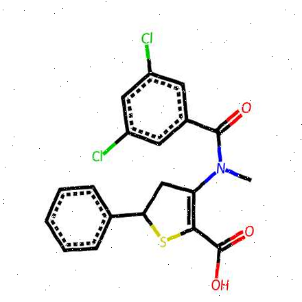 CN(C(=O)c1cc(Cl)cc(Cl)c1)C1=C(C(=O)O)SC(c2ccccc2)C1